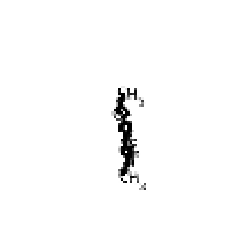 CCCCOc1ccc(COC2CCC(C3CCC(CCC)CO3)CC2)c(F)c1F